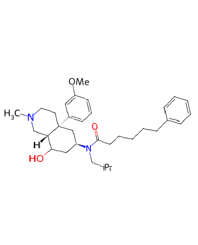 COc1cccc([C@@]23CCN(C)C[C@H]2C(O)C[C@H](N(CC(C)C)C(=O)CCCCCc2ccccc2)C3)c1